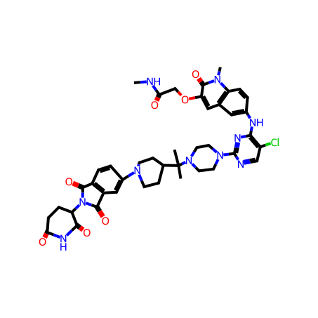 CNC(=O)COc1cc2cc(Nc3nc(N4CCN(C(C)(C)C5CCN(c6ccc7c(c6)C(=O)N(C6CCC(=O)NC6=O)C7=O)CC5)CC4)ncc3Cl)ccc2n(C)c1=O